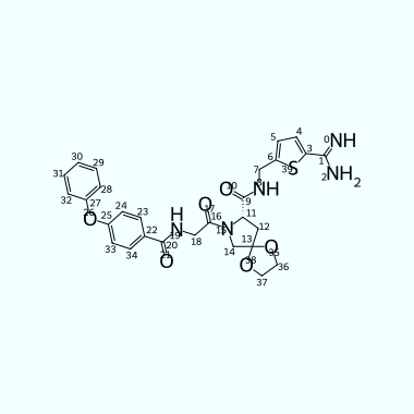 N=C(N)c1ccc(CNC(=O)[C@@H]2CC3(CN2C(=O)CNC(=O)c2ccc(Oc4ccccc4)cc2)OCCO3)s1